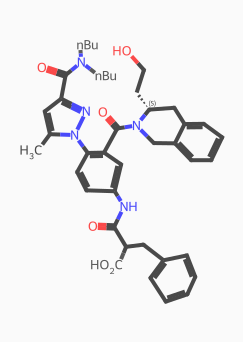 CCCCN(CCCC)C(=O)c1cc(C)n(-c2ccc(NC(=O)C(Cc3ccccc3)C(=O)O)cc2C(=O)N2Cc3ccccc3C[C@H]2CCO)n1